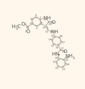 COC(=O)c1ccc2c(c1)/C(=C/Nc1ccc(C(=O)Nc3ccccc3N)cc1)C(=O)N2